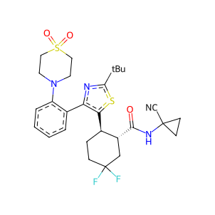 CC(C)(C)c1nc(-c2ccccc2N2CCS(=O)(=O)CC2)c([C@@H]2CCC(F)(F)C[C@H]2C(=O)NC2(C#N)CC2)s1